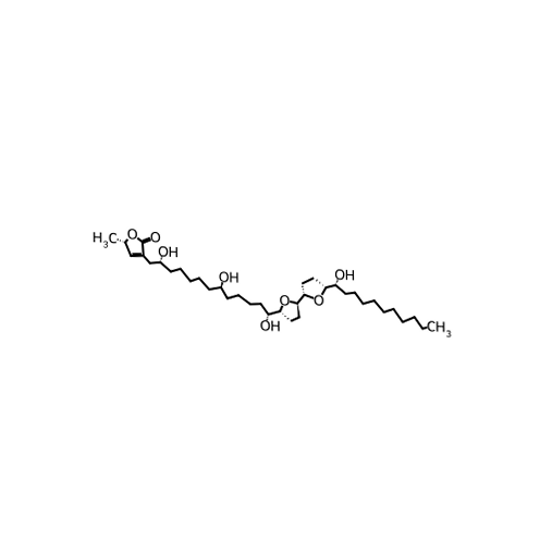 CCCCCCCCCC[C@@H](O)[C@H]1CC[C@@H]([C@H]2CC[C@H]([C@H](O)CCCC[C@H](O)CCCCC[C@@H](O)CC3=C[C@H](C)OC3=O)O2)O1